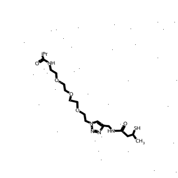 CC(S)CC(=O)NCc1cn(CCOCCOCCOCCNC(=O)C(C)C)nn1